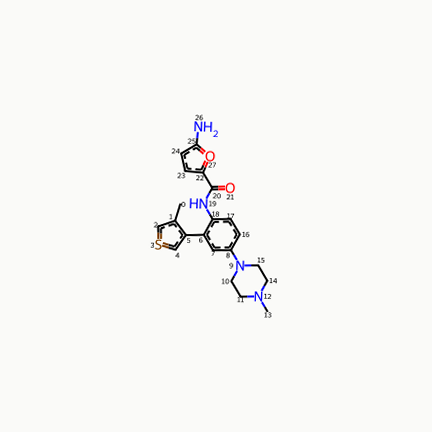 Cc1cscc1-c1cc(N2CCN(C)CC2)ccc1NC(=O)c1ccc(N)o1